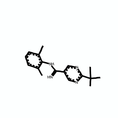 Cc1cccc(C)c1NC(=N)c1cnc(C(C)(C)C)nc1